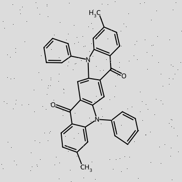 Cc1ccc2c(=O)c3cc4c(cc3n(-c3ccccc3)c2c1)c(=O)c1ccc(C)cc1n4-c1ccccc1